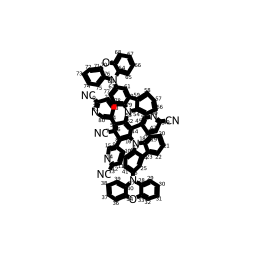 N#Cc1ccc(-c2c(C#N)c(-c3ccc(C#N)nc3)c(-n3c4ccccc4c4cc(N5c6ccccc6Oc6ccccc65)ccc43)c(-c3ccc(C#N)nc3)c2-n2c3ccccc3c3cc(N4c5ccccc5Oc5ccccc54)ccc32)cn1